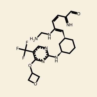 N=C(C=O)/C=C\C(=C\[C@H]1CCC[C@@H](Nc2ncc(C(F)(F)F)c(OC3COC3)n2)C1)NCN